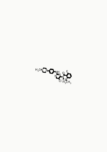 COc1cccc(F)c1C(=O)N(C)c1nc(Nc2ccc(N3CCN(C)CC3)cc2)ncc1Cl